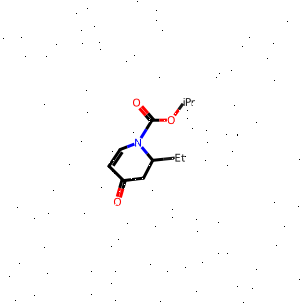 CCC1CC(=O)C=CN1C(=O)OC(C)C